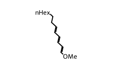 [CH2]OC=CC=CC=CCCCCCCCC